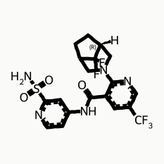 NS(=O)(=O)c1cc(NC(=O)c2cc(C(F)(F)F)cnc2N2CC3CC[C@H](C2)C3(F)F)ccn1